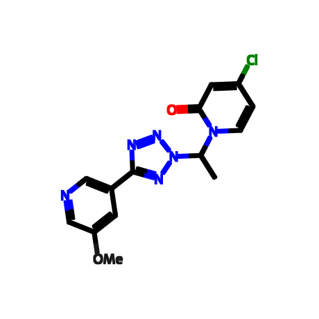 COc1cncc(-c2nnn(C(C)n3ccc(Cl)cc3=O)n2)c1